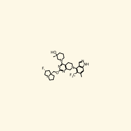 Cc1cc2[nH]ncc2c(N2CCc3c(nc(OC[C@@]45CCCN4C[C@H](F)C5)nc3N3CCC[C@@](C)(O)C3)C2)c1C(F)(F)F